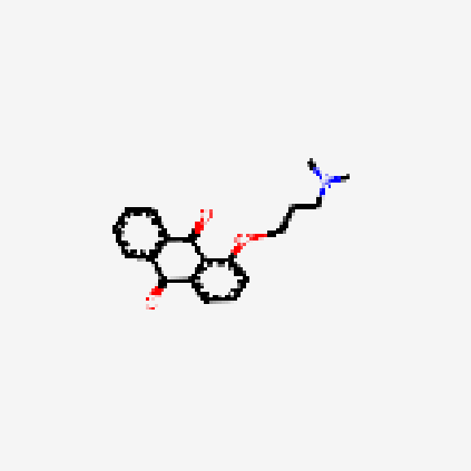 CN(C)CCCOc1cccc2c1C(=O)c1ccccc1C2=O